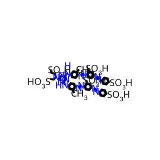 Cc1cc(Nc2nc(Nc3ccc(N=Nc4ccc(N=Nc5ccc(S(=O)(=O)O)cc5)cc4S(=O)(=O)O)c(C)c3)nc(N(CCS(=O)(=O)O)CCS(=O)(=O)O)n2)ccc1N=Nc1ccc(N=Nc2ccc(S(=O)(=O)O)cc2)cc1S(=O)(=O)O